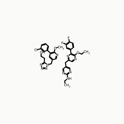 CCNc1ncc(Cc2cnc(OCC)c(-c3ccc(F)c(F)c3)n2)cn1.COc1ncc(Cn2nnnc2CCO)cc1-c1cccc(Cl)c1